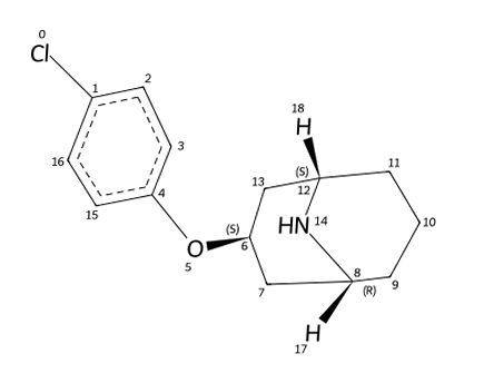 Clc1ccc(O[C@@H]2C[C@H]3CCC[C@@H](C2)N3)cc1